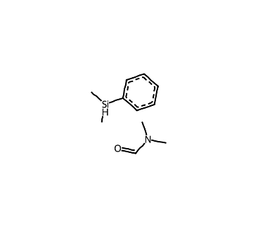 CN(C)C=O.C[SiH](C)c1ccccc1